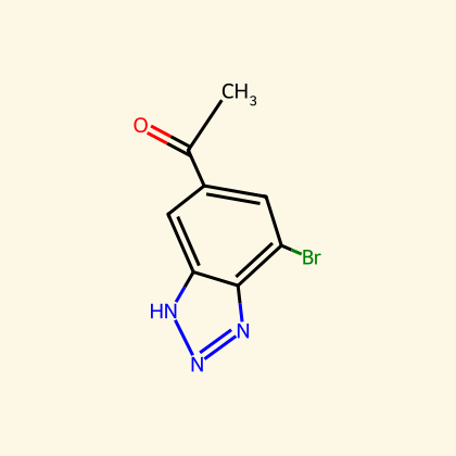 CC(=O)c1cc(Br)c2nn[nH]c2c1